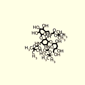 CC(C)(C)OC(=O)NCC1OC(OC2C(NC(=O)OC(C)(C)C)CC(NC(=O)OC(C)(C)C)C(OC3OC(CO)C(O)CC3O)C2O)C(O)C(O)C1O